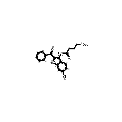 CCCCCCCCCCCCCC(=O)Nc1c(C(=O)c2ccccc2)[nH]c2cc(Cl)ccc12